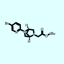 CC(C)(C)OC(=O)CN1C[C@@H]2C[C@H]1CN2c1ccc(Br)cn1